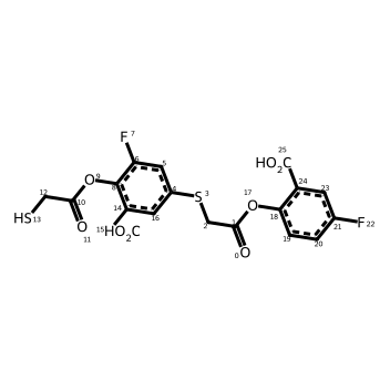 O=C(CSc1cc(F)c(OC(=O)CS)c(C(=O)O)c1)Oc1ccc(F)cc1C(=O)O